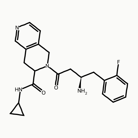 N[C@@H](CC(=O)N1Cc2ccncc2CC1C(=O)NC1CC1)Cc1ccccc1F